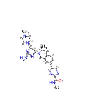 CCNC(=O)c1ncc(-c2ccc3c(c2)CN(c2cc(N4CCN(C)CC4)nc(N)n2)C(C)C3)cn1